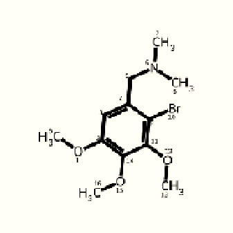 COc1cc(CN(C)C)c(Br)c(OC)c1OC